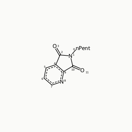 CCCCCN1C(=O)c2cccnc2C1=O